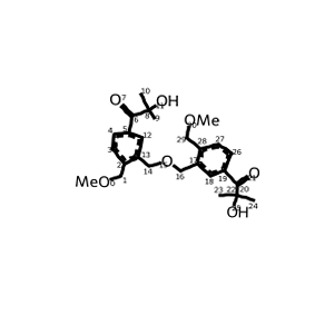 COCc1ccc(C(=O)C(C)(C)O)cc1COCc1cc(C(=O)C(C)(C)O)ccc1COC